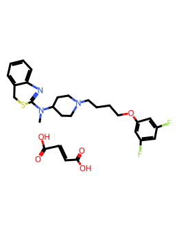 CN(C1=Nc2ccccc2CS1)C1CCN(CCCCOc2cc(F)cc(F)c2)CC1.O=C(O)/C=C/C(=O)O